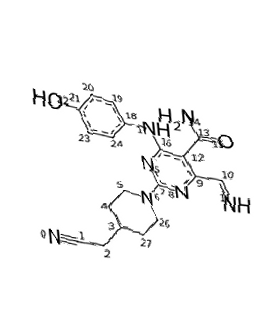 N#CCC1CCN(c2nc(C=N)c(C(N)=O)c(Nc3ccc(O)cc3)n2)CC1